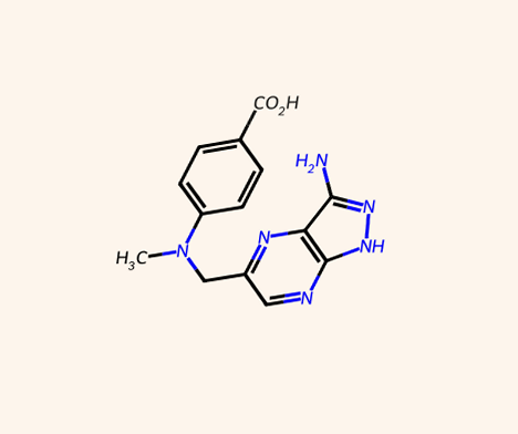 CN(Cc1cnc2[nH]nc(N)c2n1)c1ccc(C(=O)O)cc1